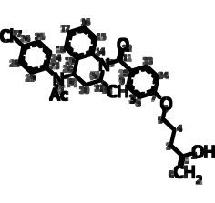 C=C(O)CCCOc1ccc(C(=O)N2c3ccccc3[C@H](N(C(C)=O)c3ccc(Cl)cc3)C[C@@H]2C)cc1